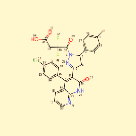 Cc1ccc(C2CC(c3c(-c4ccc(Cl)cc4)c4cccnc4[nH]c3=O)=NN2C(=O)C(F)(F)CC(=O)O)cc1